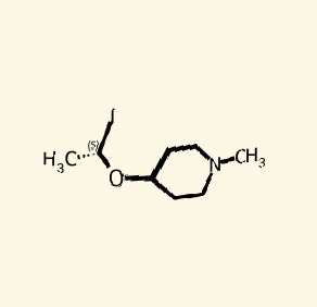 C[C@H](I)OC1CCN(C)CC1